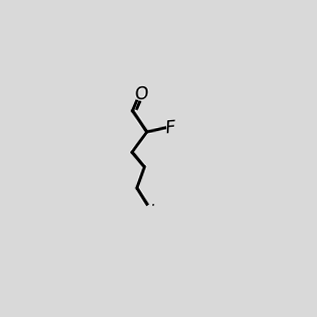 [CH2]CCCC(F)C=O